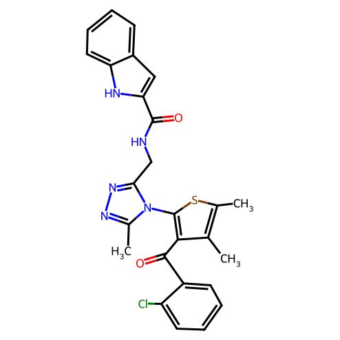 Cc1sc(-n2c(C)nnc2CNC(=O)c2cc3ccccc3[nH]2)c(C(=O)c2ccccc2Cl)c1C